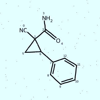 N#CC1(C(N)=O)CC1c1ccccc1